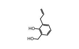 C=CCc1cccc(CO)c1O